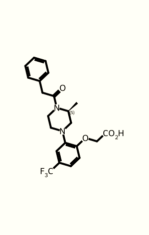 C[C@H]1CN(c2cc(C(F)(F)F)ccc2OCC(=O)O)CCN1C(=O)Cc1ccccc1